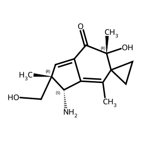 CC1=C2C(=C[C@@](C)(CO)[C@H]2N)C(=O)[C@](C)(O)C12CC2